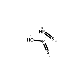 OP=S.P=S